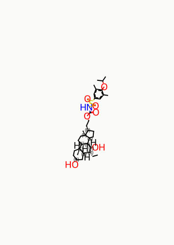 CC[C@H]1[C@@H](O)[C@@H]2[C@H](CC[C@]3(C)[C@@H](CCOC(=O)NS(=O)(=O)c4cc(C)c(OC(C)C)c(C)c4)CC[C@@H]23)[C@@]2(C)CC[C@@H](O)C[C@@H]12